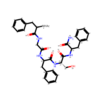 CC(=O)NC(Cc1ccccc1)C(=O)NCC(=O)NC(Cc1ccccc1)C(=O)N[C@@H](CO)C(=O)NC(Cc1ccccc1)C(N)=O